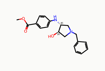 COC(=O)c1ccc(N[C@@H]2CN(Cc3ccccc3)C[C@H]2O)cc1